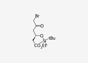 CCOC(=O)C[C@@H](CC(=O)CBr)O[Si](C)(C)C(C)(C)C